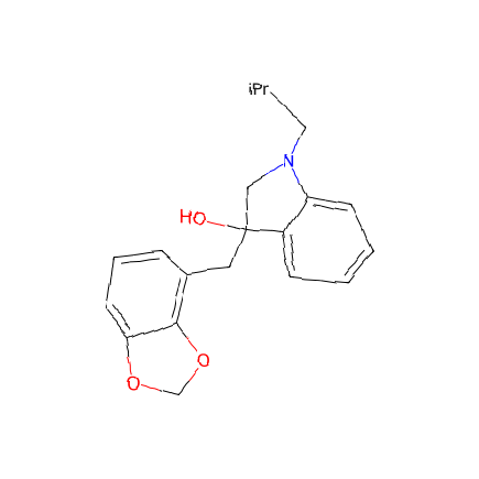 CC(C)CN1CC(O)(Cc2cccc3c2OCO3)c2ccccc21